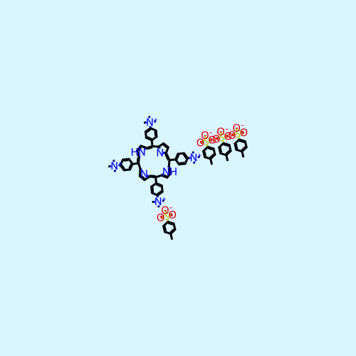 C[N+](C)(C)c1ccc(-c2c3nc(c(-c4ccc([N+](C)(C)C)cc4)c4ccc([nH]4)c(-c4ccc([N+](C)(C)C)cc4)c4nc(c(-c5ccc([N+](C)(C)C)cc5)c5ccc2[nH]5)C=C4)C=C3)cc1.Cc1ccc(S(=O)(=O)[O-])cc1.Cc1ccc(S(=O)(=O)[O-])cc1.Cc1ccc(S(=O)(=O)[O-])cc1.Cc1ccc(S(=O)(=O)[O-])cc1